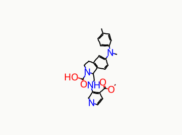 COC(=O)c1ccncc1NCC1c2ccc(N(C)c3ccc(C)cc3)cc2CCN1C(=O)O